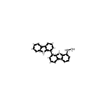 OBc1cccc2c1sc1c(-c3cccc4c3oc3ccccc34)cccc12